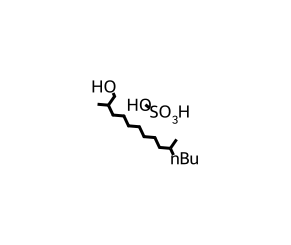 CCCCC(C)CCCCCCCC(C)CO.O=S(=O)(O)O